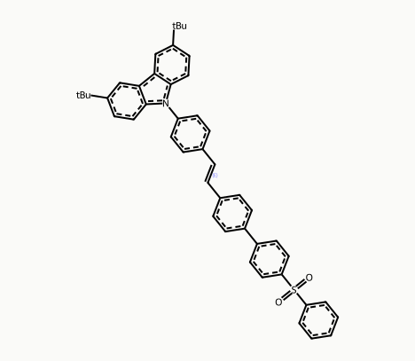 CC(C)(C)c1ccc2c(c1)c1cc(C(C)(C)C)ccc1n2-c1ccc(/C=C/c2ccc(-c3ccc(S(=O)(=O)c4ccccc4)cc3)cc2)cc1